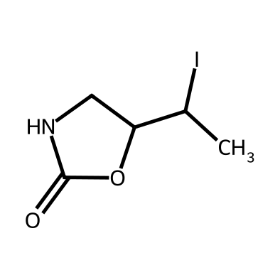 CC(I)C1CNC(=O)O1